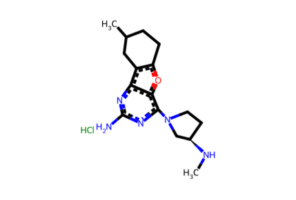 CN[C@@H]1CCN(c2nc(N)nc3c4c(oc23)CCC(C)C4)C1.Cl